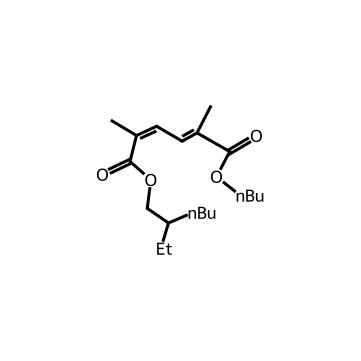 CCCCOC(=O)C(C)=CC=C(C)C(=O)OCC(CC)CCCC